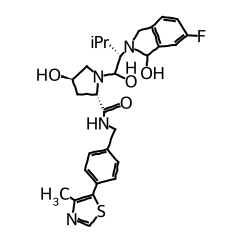 Cc1ncsc1-c1ccc(CNC(=O)[C@@H]2C[C@@H](O)CN2C(O)[C@H](C(C)C)N2Cc3ccc(F)cc3C2O)cc1